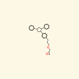 c1ccc(C2CC(c3ccccc3)C(c3ccc(CCCOCC4CO4)cc3)C2)cc1